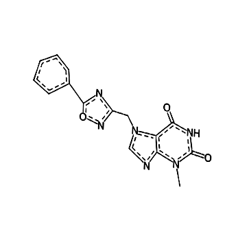 Cn1c(=O)[nH]c(=O)c2c1ncn2Cc1noc(-c2ccccc2)n1